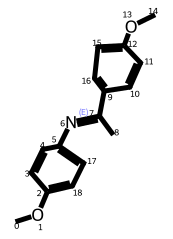 COc1ccc(/N=C(\C)c2ccc(OC)cc2)cc1